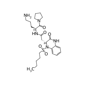 CCCCCS(=O)(=O)N1c2ccccc2NC(=O)[C@H]1CC(=O)N[C@@H](CCCN)C(=O)N1CCCC1